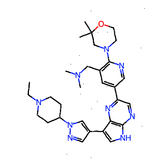 CCN1CCC(n2cc(-c3c[nH]c4ncc(-c5cnc(N6CCOC(C)(C)C6)c(CN(C)C)c5)nc34)cn2)CC1